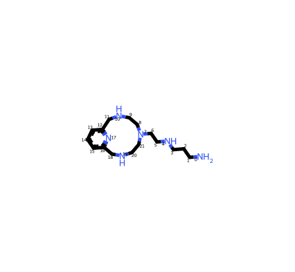 NCCCNCCN1CCNCc2cccc(n2)CNCC1